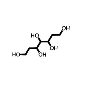 OCCC(O)C(O)C(O)CCO